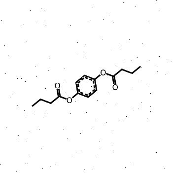 CCCC(=O)Oc1ccc(OC(=O)CCC)cc1